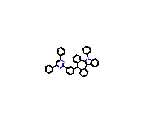 c1ccc(-c2cc(-c3ccccc3)nc(-c3cccc(C4c5ccccc5-c5c(n(-c6ccccc6)c6ccccc56)-c5ccccc54)c3)n2)cc1